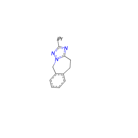 CC(C)c1nc2n(n1)Cc1ccccc1CC2